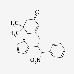 CC1(C)CC(=O)C=C(C[C@@H](c2cccs2)[C@H](c2ccccc2)[N+](=O)[O-])C1